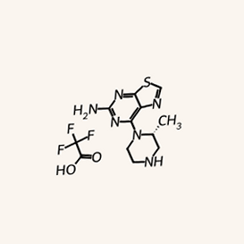 C[C@@H]1CNCCN1c1nc(N)nc2scnc12.O=C(O)C(F)(F)F